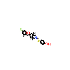 Cc1cc(F)ccc1C[C@]1(O)C[C@H]2CN(CSc3ccc(O)cc3)C[C@H]2C1